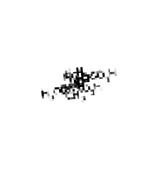 Cc1ccc(/N=N/c2c(S(=O)(=O)O)cc3cc(S(=O)(=O)O)cc(N)c3c2O)c(C)c1